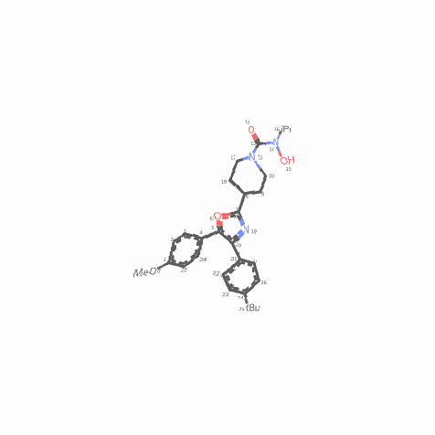 COc1ccc(-c2oc(C3CCN(C(=O)N(O)C(C)C)CC3)nc2-c2ccc(C(C)(C)C)cc2)cc1